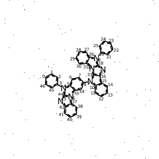 c1ccc(-n2c3ccc(-n4c5ccccc5c5nc6n(-c7ccccc7)c7ccccc7n6c54)cc3n3c4ccccc4nc23)cc1